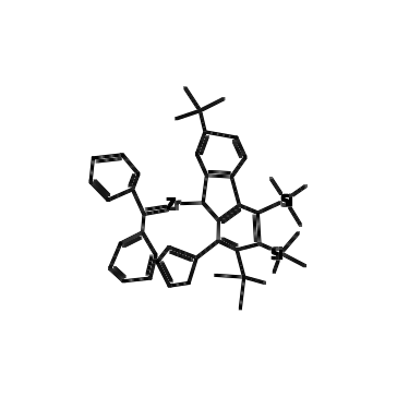 CC(C)(C)c1ccc2c(c1)[CH]([Zr]=[C](c1ccccc1)c1ccccc1)c1c(C3=CC=CC3)c(C(C)(C)C)c([Si](C)(C)C)c([Si](C)(C)C)c1-2